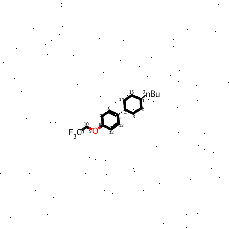 CCCC[C@H]1CC[C@H](C2=CCC(OCC(F)(F)F)C=C2)CC1